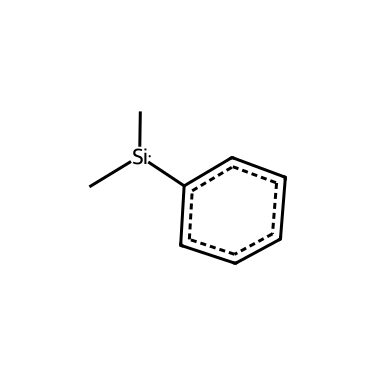 C[Si](C)c1ccccc1